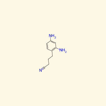 N#CCCCc1ccc(N)cc1N